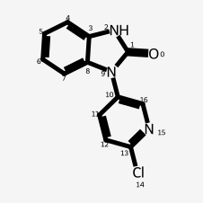 O=c1[nH]c2ccccc2n1-c1ccc(Cl)nc1